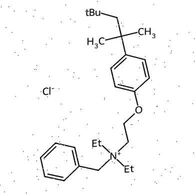 CC[N+](CC)(CCOc1ccc(C(C)(C)CC(C)(C)C)cc1)Cc1ccccc1.[Cl-]